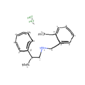 CNC(CNCc1ccccc1OC)c1ccccc1.Cl.Cl